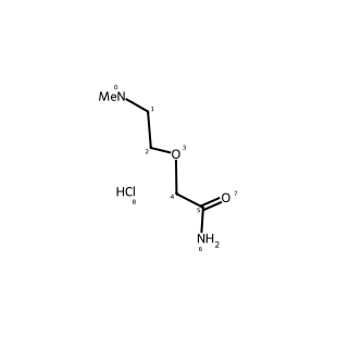 CNCCOCC(N)=O.Cl